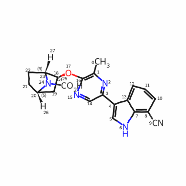 Cc1nc(-c2c[nH]c3c(C#N)cccc23)cnc1O[C@H]1C[C@@H]2CC[C@H]1N2C(=O)O